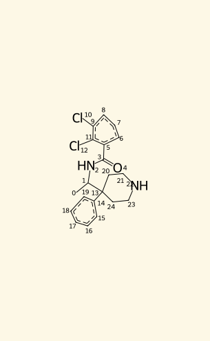 CC(NC(=O)c1cccc(Cl)c1Cl)C1(c2ccccc2)CCNCC1